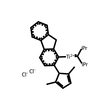 CC1=CC=C(C)C1c1ccc2c([c]1[Ti+2]=[C](C(C)C)C(C)C)Cc1ccccc1-2.[Cl-].[Cl-]